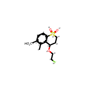 Cc1c(C(=O)O)ccc2c1C(OCCF)CCS2(=O)=O